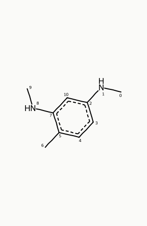 CNc1ccc(C)c(NC)c1